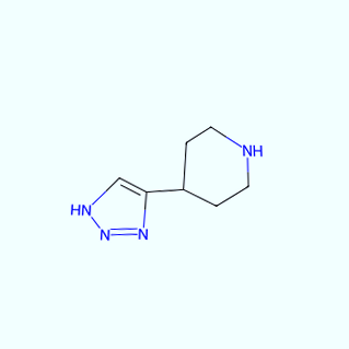 c1[nH]nnc1C1CCNCC1